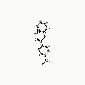 COc1ccc(C(=O)Cc2cccc[n+]2[O-])cc1